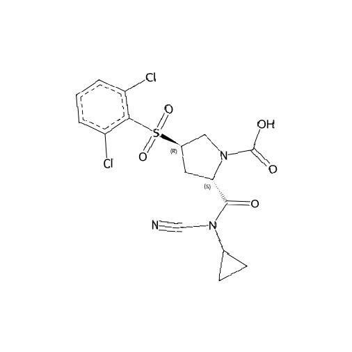 N#CN(C(=O)[C@@H]1C[C@@H](S(=O)(=O)c2c(Cl)cccc2Cl)CN1C(=O)O)C1CC1